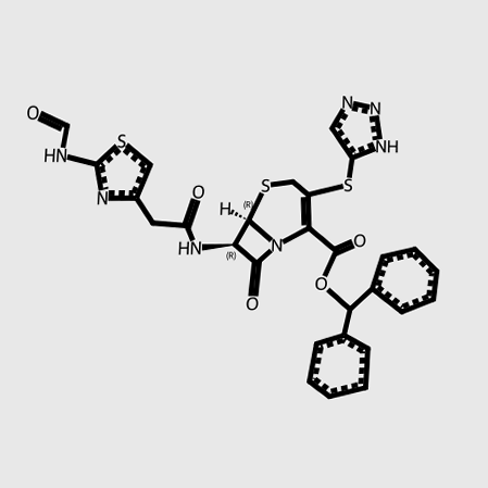 O=CNc1nc(CC(=O)N[C@@H]2C(=O)N3C(C(=O)OC(c4ccccc4)c4ccccc4)=C(Sc4cnn[nH]4)CS[C@H]23)cs1